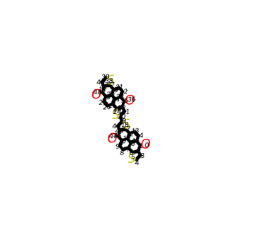 O=C1c2ccsc2-c2ccc3c4c(ccc1c24)-c1sc(-c2cc4c(s2)-c2ccc5c6c(ccc(c26)C4=O)-c2sccc2C5=O)cc1C3=O